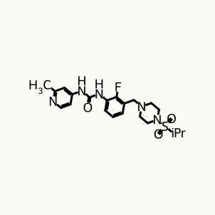 Cc1cc(NC(=O)Nc2cccc(CN3CCN(S(=O)(=O)C(C)C)CC3)c2F)ccn1